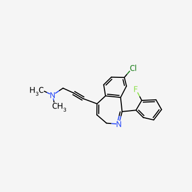 CN(C)CC#CC1=CCN=C(c2ccccc2F)c2cc(Cl)ccc21